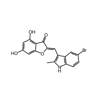 Cc1[nH]c2ccc(Br)cc2c1/C=C1\Oc2cc(O)cc(O)c2C1=O